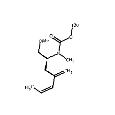 C=C(/C=C\C)C[C@@H](COC)N(C)C(=O)OC(C)(C)C